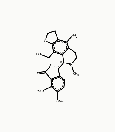 COc1ccc2c(c1OC)C(=O)O[C@@H]2[C@H]1c2c(c(N)c3c(c2CO)OCO3)CCN1C